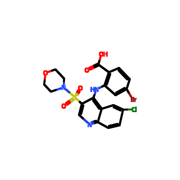 O=C(O)c1ccc(Br)cc1Nc1c(S(=O)(=O)N2CCOCC2)cnc2ccc(Cl)cc12